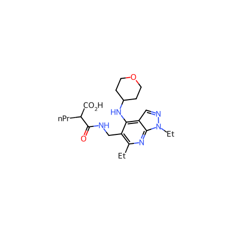 CCCC(C(=O)O)C(=O)NCc1c(CC)nc2c(cnn2CC)c1NC1CCOCC1